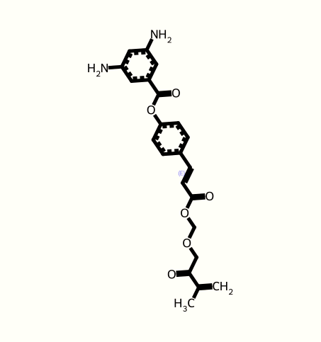 C=C(C)C(=O)COCOC(=O)/C=C/c1ccc(OC(=O)c2cc(N)cc(N)c2)cc1